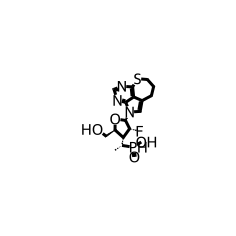 C[C@H]([C@H]1[C@@H](F)[C@H](n2cc3c4c(ncnc42)SCCC3)O[C@@H]1CO)[PH](=O)O